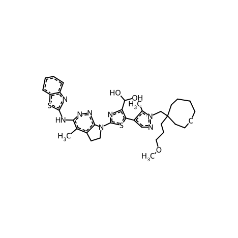 COCCCC1(Cn2ncc(-c3sc(N4CCc5c4nnc(Nc4nc6ccccc6s4)c5C)nc3C(O)O)c2C)CCCCCCC1